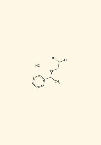 CC(NCC(O)O)c1ccccc1.Cl